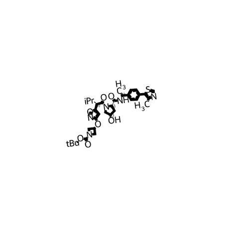 Cc1ncsc1-c1ccc([C@H](C)NC(=O)[C@@H]2C[C@@H](O)CN2C(=O)[C@H](c2cc(OC3CN(C(=O)OC(C)(C)C)C3)no2)C(C)C)cc1